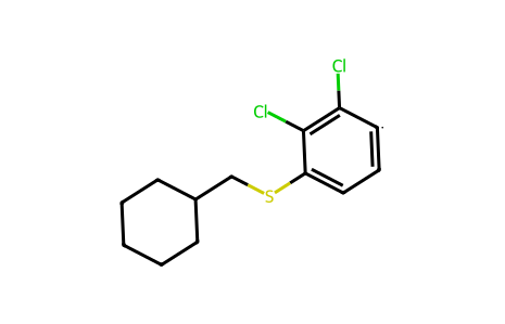 Clc1[c]ccc(SCC2CCCCC2)c1Cl